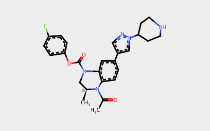 CC(=O)N1c2ccc(-c3cnn(C4CCNCC4)c3)cc2N(C(=O)Oc2ccc(F)cc2)C[C@@H]1C